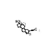 CC#CC1CC2=C3CC[C@@]4(C)C(CC[C@@H]4O)C3CCC2=CC1=O